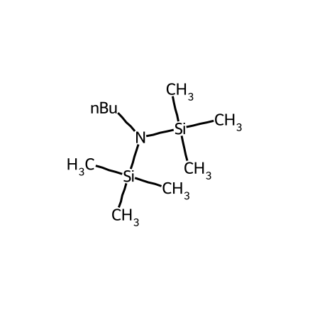 [CH2]CCCN([Si](C)(C)C)[Si](C)(C)C